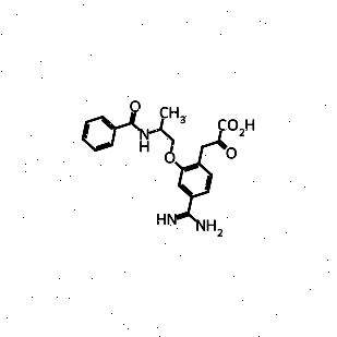 CC(COc1cc(C(=N)N)ccc1CC(=O)C(=O)O)NC(=O)c1ccccc1